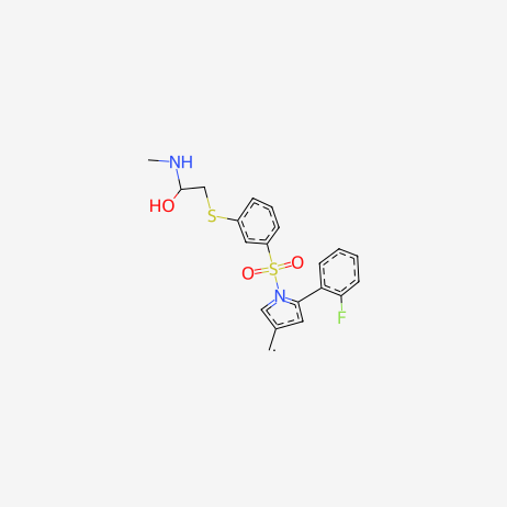 [CH2]c1cc(-c2ccccc2F)n(S(=O)(=O)c2cccc(SCC(O)NC)c2)c1